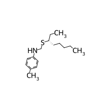 CCCCC[C@@H](CC)SCNc1ccc(C)cc1